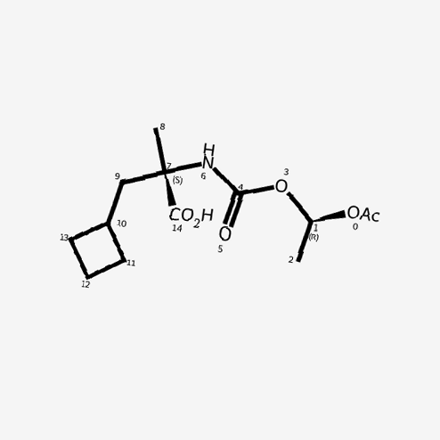 CC(=O)O[C@@H](C)OC(=O)N[C@@](C)(CC1CCC1)C(=O)O